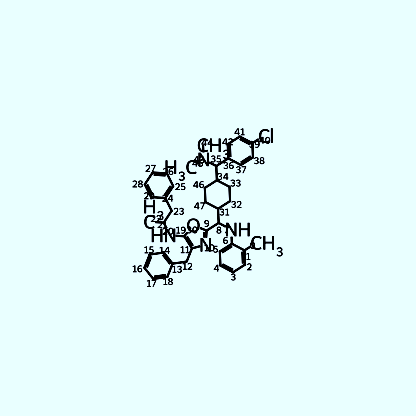 Cc1ccccc1NC(c1nc(Cc2ccccc2)c(NC(C)Cc2ccccc2)o1)C1CCC(C(c2ccc(Cl)cc2)N(C)C)CC1